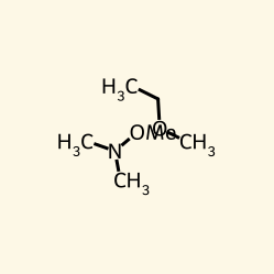 CCOC.CON(C)C